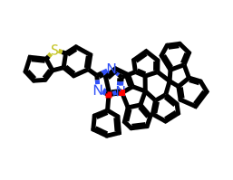 c1ccc(-c2nc(-c3ccc4sc5ccccc5c4c3)nc(-c3cccc4c3C3(c5ccccc5-c5ccccc53)c3ccccc3C43c4ccccc4-c4ccccc43)n2)cc1